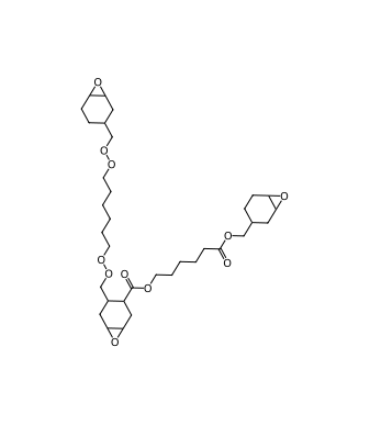 O=C(CCCCCOC(=O)C1CC2OC2CC1COOCCCCCCOOCC1CCC2OC2C1)OCC1CCC2OC2C1